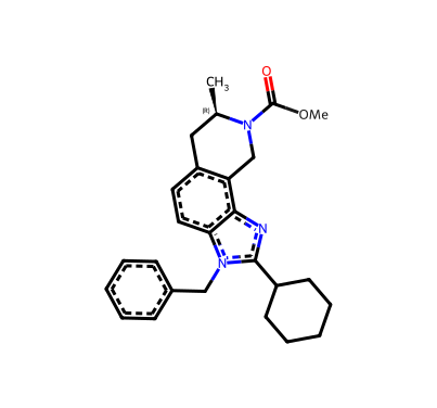 COC(=O)N1Cc2c(ccc3c2nc(C2CCCCC2)n3Cc2ccccc2)C[C@H]1C